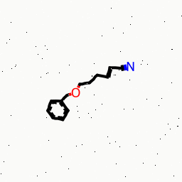 N#C/C=C/CCCOCc1ccccc1